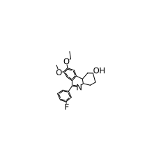 CCOc1cc2c(cc1OC)C(c1cccc(F)c1)=NC1CCC(O)CC21